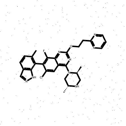 Cc1ccc2cn[nH]c2c1-c1c(Cl)cc2c(N3C[C@@H](C)NC[C@@H]3C)nc(OCCc3ncccn3)nc2c1F